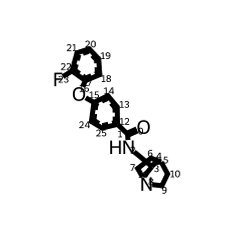 O=C(NC1CC2CCN(CC2)C1)c1ccc(Oc2ccccc2F)cc1